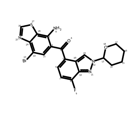 Nc1c(C(=O)c2ccc(F)c3nn(C4CCCCO4)cc23)cc(Br)c2ncsc12